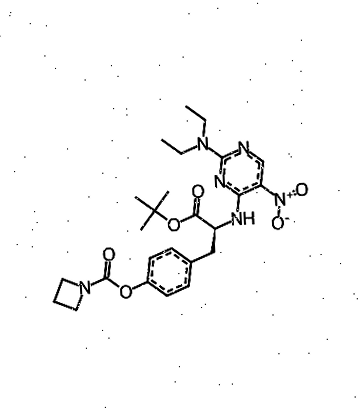 CCN(CC)c1ncc([N+](=O)[O-])c(N[C@@H](Cc2ccc(OC(=O)N3CCC3)cc2)C(=O)OC(C)(C)C)n1